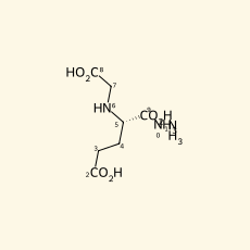 N.N.O=C(O)CC[C@H](NCC(=O)O)C(=O)O